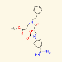 CC(C)(C)OC(=O)CCN(CCc1ccccc1)C(=O)C1CN(c2ccc(C(=N)N)cc2)C(=O)O1